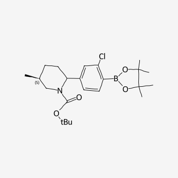 C[C@H]1CCC(c2ccc(B3OC(C)(C)C(C)(C)O3)c(Cl)c2)N(C(=O)OC(C)(C)C)C1